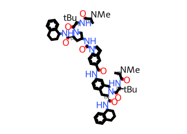 CN[C@@H](C)C(=O)N[C@H](C(=O)N1Cc2cc(NC(=O)c3ccc4c(ccn4C(=O)NC4C[C@@H](C(=O)NC5CCCc6ccccc65)N(C(=O)[C@@H](NC(=O)[C@H](C)NC)C(C)(C)C)C4)c3)ccc2C[C@H]1C(=O)NC1CCCc2ccccc21)C(C)(C)C